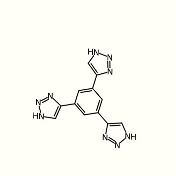 c1c(-c2c[nH]nn2)cc(-c2c[nH]nn2)cc1-c1c[nH]nn1